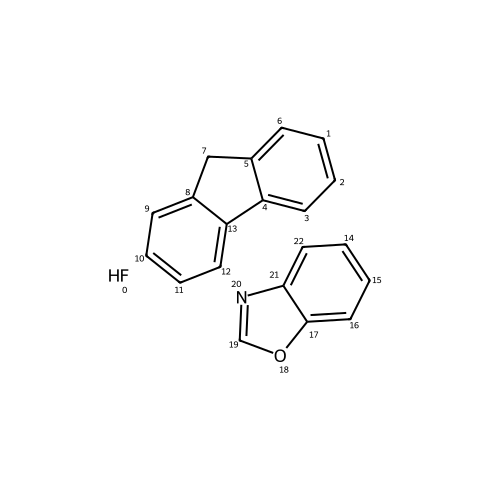 F.c1ccc2c(c1)Cc1ccccc1-2.c1ccc2ocnc2c1